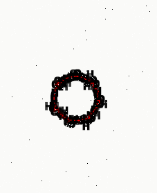 CN1CCCNc2c(c(=O)c2=O)NCCCN(C)CCCNc2c(c(=O)c2=O)NCCCN(C)CCCNc2c(c(=O)c2=O)NCCCN(C)CCCNc2c(c(=O)c2=O)NCCCN(C)CCCN(C)CCCNc2c(c(=O)c2=O)NCCCN(C)CCCNc2c(c(=O)c2=O)NCCCN(C)CCCNc2c(c(=O)c2=O)NCCC1